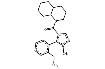 CSc1ccccc1-c1c(C(=O)N2CCCC3CCCCC32)cnn1C